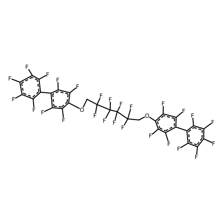 Fc1c(F)c(F)c(-c2c(F)c(F)c(OCC(F)(F)C(F)(F)C(F)(F)C(F)(F)COc3c(F)c(F)c(-c4c(F)c(F)c(F)c(F)c4F)c(F)c3F)c(F)c2F)c(F)c1F